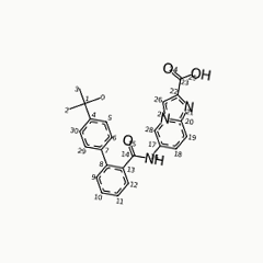 CC(C)(C)c1ccc(-c2ccccc2C(=O)Nc2ccc3nc(C(=O)O)cn3c2)cc1